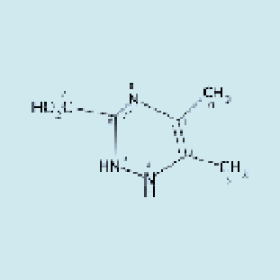 CC1=C(C)NNC(C(=O)O)=N1